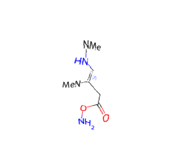 CNN/C=C(/CC(=O)ON)NC